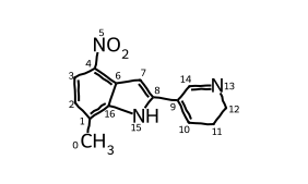 Cc1ccc([N+](=O)[O-])c2cc(C3=CCCN=C3)[nH]c12